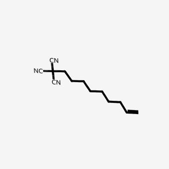 C=CCCCCCCCC(C#N)(C#N)C#N